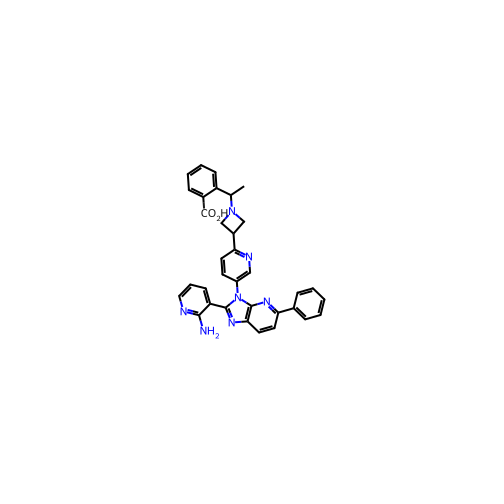 CC(c1ccccc1C(=O)O)N1CC(c2ccc(-n3c(-c4cccnc4N)nc4ccc(-c5ccccc5)nc43)cn2)C1